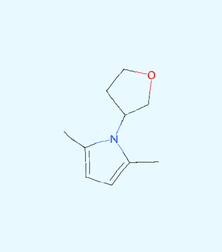 Cc1ccc(C)n1C1CCOC1